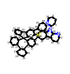 c1ccc(-n2c3ccc(-c4ccc5c(c4)C4(c6ccccc6-c6ccccc6-5)c5ccccc5-c5cc6c(cc54)sc4ccccc46)cc3c3cccnc32)nc1